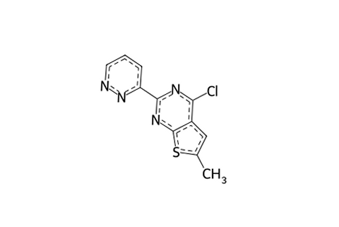 Cc1cc2c(Cl)nc(-c3cccnn3)nc2s1